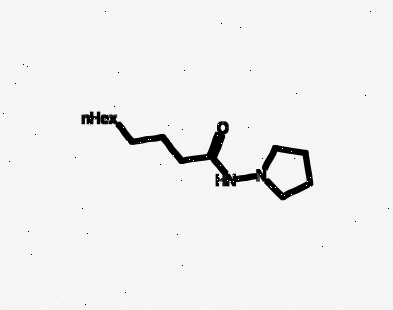 CCCCCCCCCC(=O)NN1CCCC1